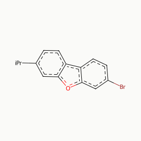 CC(C)c1ccc2c(c1)oc1cc(Br)ccc12